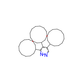 c1nnc(C2CCCCCCCCCCC2)c(C2CCCCCCCCCCC2)c1C1CCCCCCCCCCC1